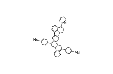 N#Cc1ccc(-c2cc3c4cc5c(cc4c(-c4ccc(C#N)cc4)cc3c3ccccc23)-c2cccc3c(C4=NCCC=C4)ccc-5c23)cc1